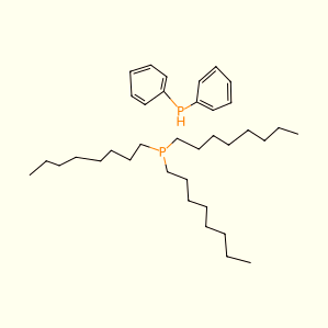 CCCCCCCCP(CCCCCCCC)CCCCCCCC.c1ccc(Pc2ccccc2)cc1